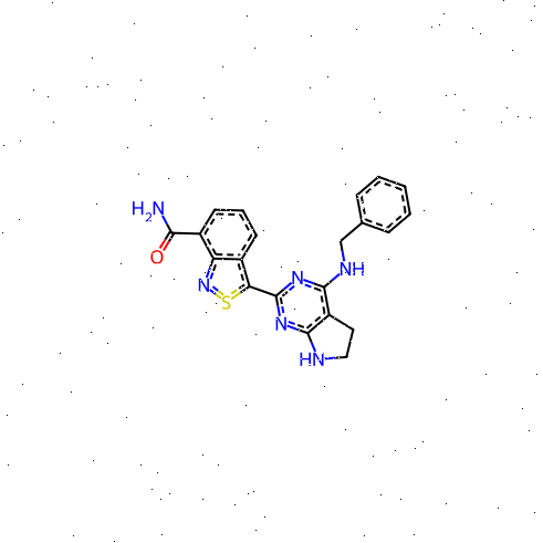 NC(=O)c1cccc2c(-c3nc4c(c(NCc5ccccc5)n3)CCN4)snc12